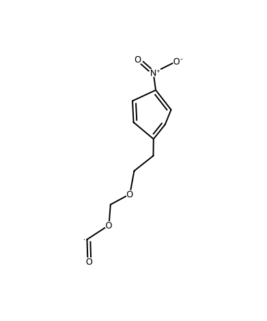 O=[C]OCOCCc1ccc([N+](=O)[O-])cc1